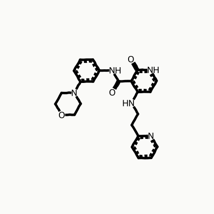 O=C(Nc1cccc(N2CCOCC2)c1)c1c(NCCc2ccccn2)cc[nH]c1=O